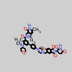 CCN(c1cc(-c2ccc(N3CCN(Cc4cc5c(cc4Br)C(=O)N(C4CCC(=O)NC4=O)C5=O)CC3)cc2)cc(C(=O)NCc2c(C)cc(C)[nH]c2=O)c1C)C1CCOCC1